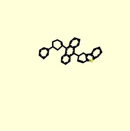 C1=CC(c2c3ccccc3c(C3=CCCC(c4ccccc4)C3)c3ccccc23)Cc2c1sc1ccccc21